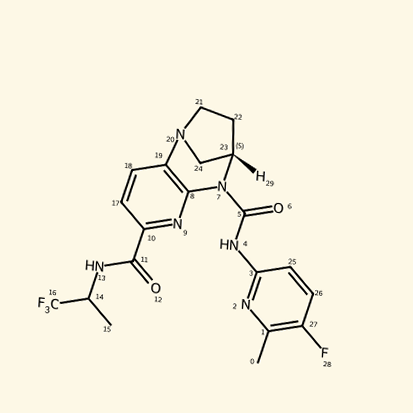 Cc1nc(NC(=O)N2c3nc(C(=O)NC(C)C(F)(F)F)ccc3N3CC[C@H]2C3)ccc1F